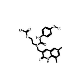 CCOc1ccc(NC(=O)N(CCOC(=O)CC)Cc2cc3cc(C)cc(C)c3[nH]c2=O)cc1